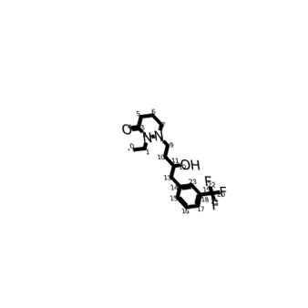 [CH2]CN1C(=O)CCCN1CCC(O)Cc1cccc(C(F)(F)F)c1